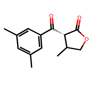 Cc1cc(C)cc(C(=O)[C@@H]2C(=O)OCC2C)c1